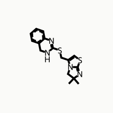 CC1(C)CN2C(CSC3=Nc4ccccc4CN3)=CSC2=N1